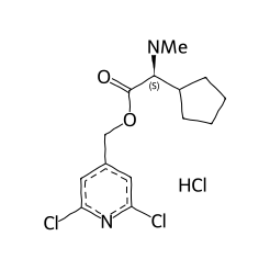 CN[C@H](C(=O)OCc1cc(Cl)nc(Cl)c1)C1CCCC1.Cl